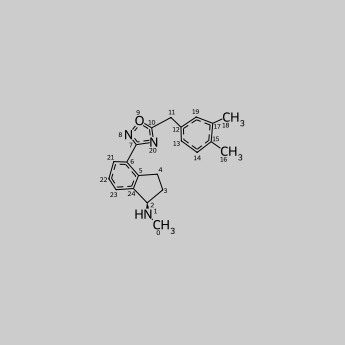 CN[C@@H]1CCc2c(-c3noc(Cc4ccc(C)c(C)c4)n3)cccc21